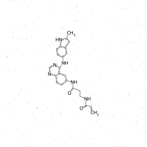 C=CC(=O)NCCC(=O)Nc1ccc2ncnc(Nc3ccc4[nH]c(C)cc4c3)c2c1